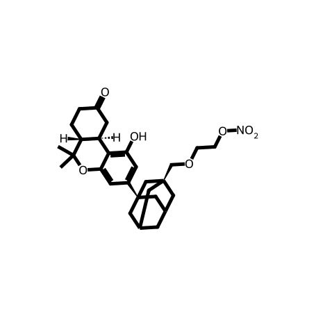 CC1(C)Oc2cc([C@]34CC5CC(C[C@@](COCCO[N+](=O)[O-])(C5)C3)C4)cc(O)c2[C@@H]2CC(=O)CC[C@H]21